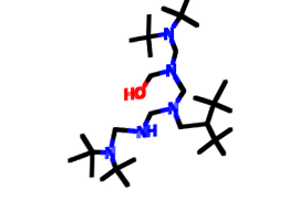 CC(C)(C)C(CN(CNCN(C(C)(C)C)C(C)(C)C)CN(CO)CN(C(C)(C)C)C(C)(C)C)C(C)(C)C